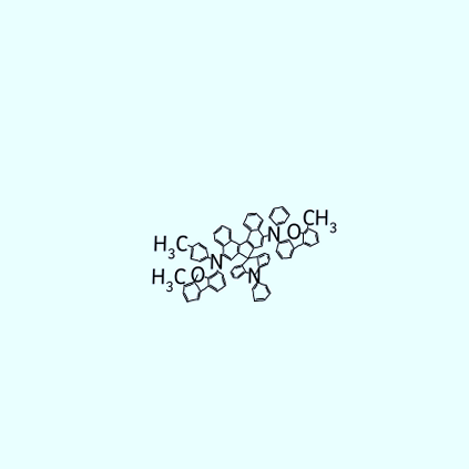 Cc1ccc(N(c2cc3c(c4ccccc24)-c2c(cc(N(c4ccccc4)c4cccc5c4oc4c(C)cccc45)c4ccccc24)C32c3ccccc3N(c3ccccc3)c3ccccc32)c2cccc3c2oc2c(C)cccc23)cc1